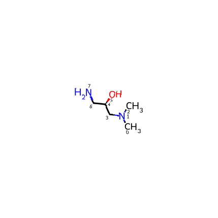 CN(C)C[C@H](O)CN